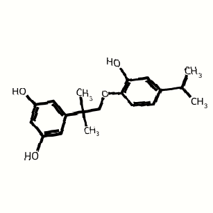 CC(C)c1ccc(OCC(C)(C)c2cc(O)cc(O)c2)c(O)c1